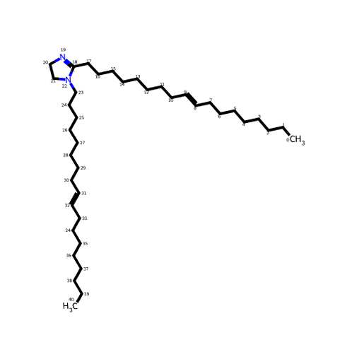 CCCCCCCCC=CCCCCCCCCC1=NCCN1CCCCCCCCC=CCCCCCCCC